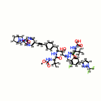 COC(=O)N[C@H](C(=O)N[C@@H](Cc1ccc(C#Cc2cnc(N3CC4CCC(C3)N4C3COC3)nc2)cc1)[C@@H](O)CN(Cc1c(F)cc(-c2ccn(C(F)F)n2)cc1F)NC(=O)[C@@H](NC(=O)O)C(C)(C)C)C(C)(C)C